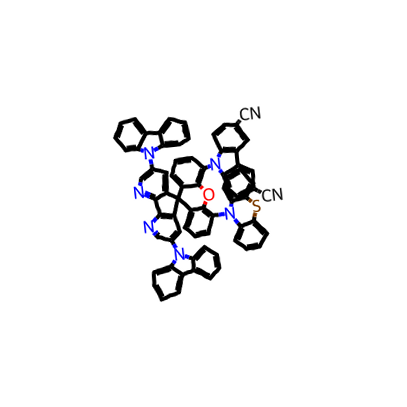 N#Cc1ccc2c(c1)c1cc(C#N)ccc1n2-c1cccc2c1Oc1c(N3c4ccccc4Sc4ccccc43)cccc1C21c2cc(-n3c4ccccc4c4ccccc43)cnc2-c2ncc(-n3c4ccccc4c4ccccc43)cc21